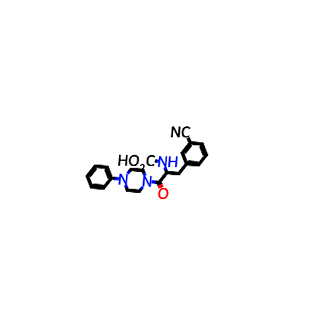 N#Cc1cccc(CC(NC(=O)O)C(=O)N2CCN(c3ccccc3)CC2)c1